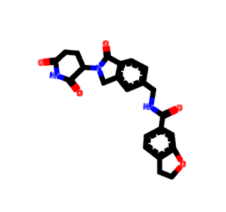 O=C1CCC(N2Cc3cc(CNC(=O)c4ccc5c(c4)OCC5)ccc3C2=O)C(=O)N1